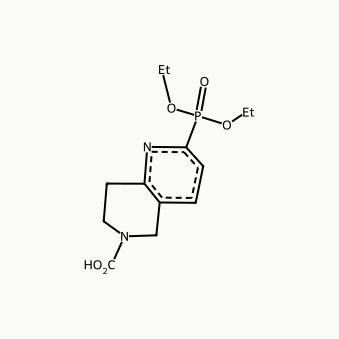 CCOP(=O)(OCC)c1ccc2c(n1)CCN(C(=O)O)C2